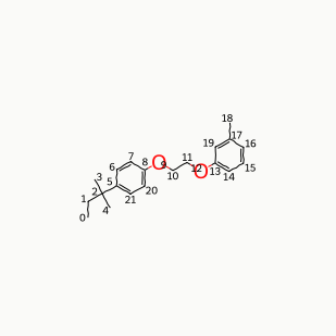 CCC(C)(C)c1ccc(OCCOc2cccc(C)c2)cc1